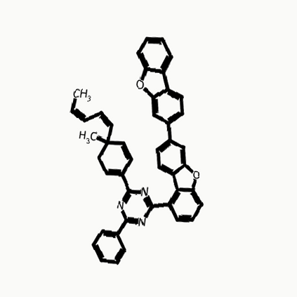 C/C=C\C=C/C1(C)C=CC(c2nc(-c3ccccc3)nc(-c3cccc4oc5cc(-c6ccc7c(c6)oc6ccccc67)ccc5c34)n2)=CC1